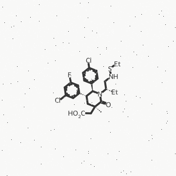 CCSNC[C@H](CC)N1C(=O)[C@@](C)(CC(=O)O)C[C@H](c2cc(F)cc(Cl)c2)[C@H]1c1ccc(Cl)cc1